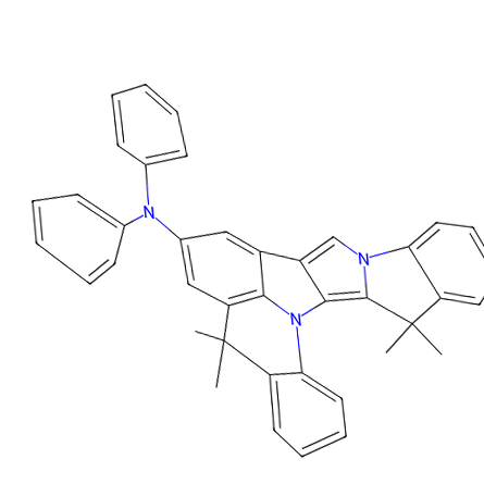 CC1(C)c2ccccc2-n2c3c1cc(N(c1ccccc1)c1ccccc1)cc3c1cn3c(c12)C(C)(C)c1ccccc1-3